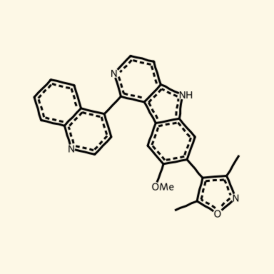 COc1cc2c(cc1-c1c(C)noc1C)[nH]c1ccnc(-c3ccnc4ccccc34)c12